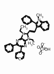 CCN1c2nc(-c3ccccc3)c(-c3ccccc3)nc2N(CC)C1C=Cc1c(-c2ccccc2)n(C)c2ccccc12.[O-][Cl+3]([O-])([O-])O